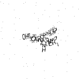 CN(N=O)C(=O)C1CNCc2c1c1cc(OCCN3CCOCC3)ccc1n2Cc1ccc(C=O)cc1